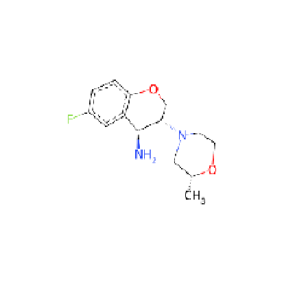 C[C@@H]1CN([C@H]2COc3ccc(F)cc3[C@@H]2N)CCO1